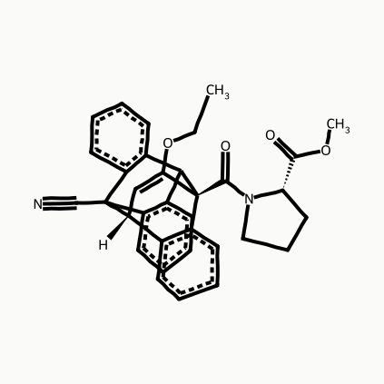 CCOC1=C[C@@H]2c3ccccc3[C@@]1(C(=O)N1CCC[C@H]1C(=O)OC)C1c3ccccc3C2(C#N)c2ccccc21